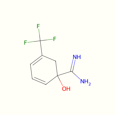 N=C(N)C1(O)C=CC=C(C(F)(F)F)C1